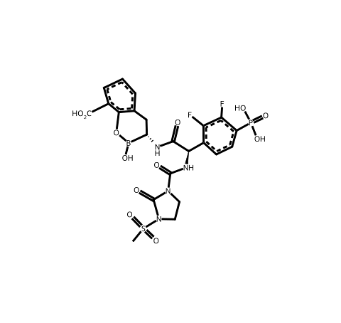 CS(=O)(=O)N1CCN(C(=O)N[C@@H](C(=O)N[C@H]2Cc3cccc(C(=O)O)c3OB2O)c2ccc(P(=O)(O)O)c(F)c2F)C1=O